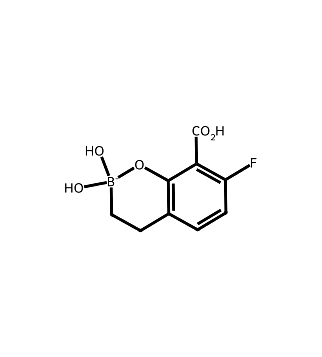 O=C(O)c1c(F)ccc2c1O[B-](O)(O)CC2